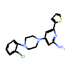 Nc1cc(N2CCN(c3ccccc3Cl)CC2)cc(-c2cccs2)n1